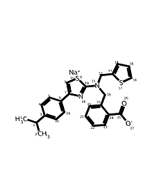 CC(C)c1ccc(-c2csc(N(Cc3cccs3)Cc3ccccc3C(=O)[O-])n2)cc1.[Na+]